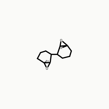 CCC12CCCC(C3CCCC4(CC)OC34)C1O2